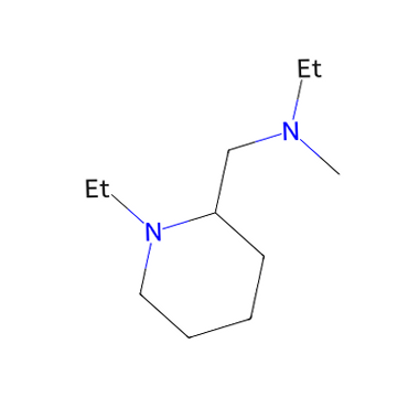 CCN(C)CC1CCCCN1CC